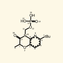 CC1Oc2ccc(C(C)(C)C)nc2N(COP(=O)(O)O)C1=O